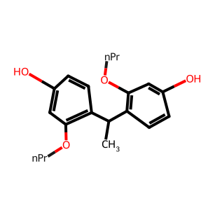 CCCOc1cc(O)ccc1C(C)c1ccc(O)cc1OCCC